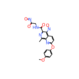 COc1ccc(Oc2ccc3c(N=O)c(C(=O)NCC(=O)N=O)nc(C)c3n2)cc1